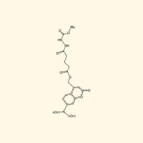 CCCCCCCCN(CCCCCCCC)c1ccc2c(COC(=O)CCCC(=O)NNC(=O)OC(C)(C)C)cc(=O)oc2c1